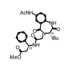 CCC(C)[C@H]1C(=O)Nc2ccc(NC(C)=O)cc2C(=O)N1CC(=O)N[C@@H](CC(=O)OC)c1ccccc1